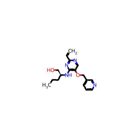 C=Cc1ncc(OCc2cccnc2)c(N[C@H](CO)CCC)n1